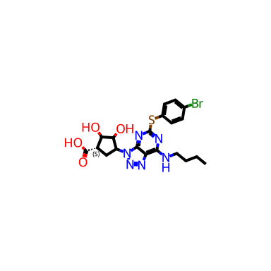 CCCCNc1nc(Sc2ccc(Br)cc2)nc2c1nnn2C1C[C@H](C(=O)O)C(O)C1O